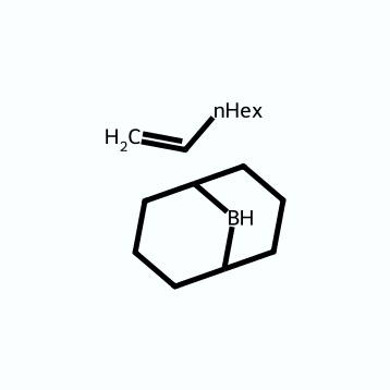 B1C2CCCC1CCC2.C=CCCCCCC